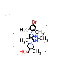 Cc1nc(N2CCC(CO)C(C)C2)c2c(C)cn(-c3c(C)cc(Br)cc3C)c2n1